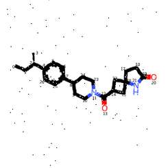 CC[C@@H](C)c1ccc(C2CCN(C(=O)C3CC4(CCC(=O)N4)C3)CC2)cc1